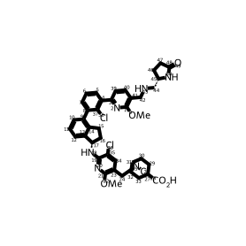 COc1nc(-c2cccc(-c3cccc4c3CC[C@@H]4Nc3nc(OC)c(CN4CC5(C(=O)O)CCC4CC5)cc3Cl)c2Cl)ccc1CNC[C@@H]1CCC(=O)N1